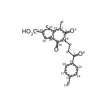 Cc1c(=O)n(CCC(=O)c2ccc(F)cc2)c(=O)n2cc(C(=O)O)sc12